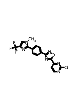 Cn1cc(C(F)(F)F)nc1-c1ccc(-c2noc(-c3ccnc(Cl)n3)n2)cc1